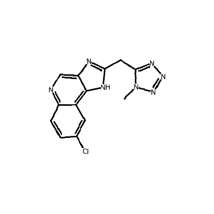 Cn1nnnc1Cc1nc2cnc3ccc(Cl)cc3c2[nH]1